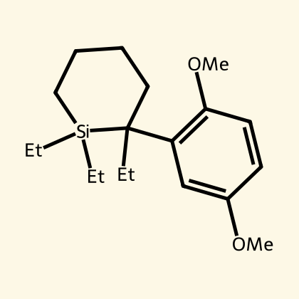 CCC1(c2cc(OC)ccc2OC)CCCC[Si]1(CC)CC